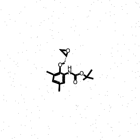 Cc1cc(C)c(OC[C@@H]2CO2)c(NC(=O)OC(C)(C)C)c1